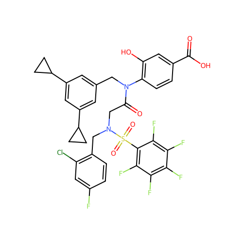 O=C(O)c1ccc(N(Cc2cc(C3CC3)cc(C3CC3)c2)C(=O)CN(Cc2ccc(F)cc2Cl)S(=O)(=O)c2c(F)c(F)c(F)c(F)c2F)c(O)c1